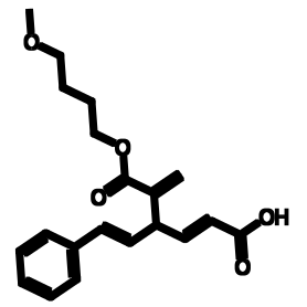 C=C(C(=O)OCCCCOC)C(C=CC(=O)O)C=Cc1ccccc1